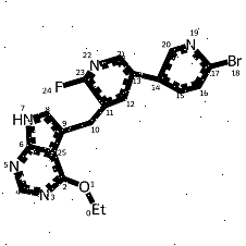 CCOc1ncnc2[nH]cc(Cc3cc(-c4ccc(Br)nc4)[c]nc3F)c12